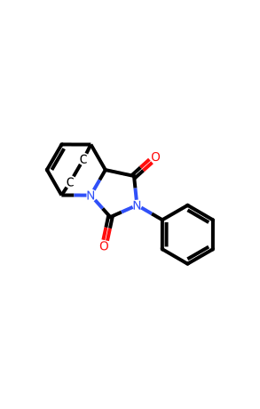 O=C1C2C3C=CC(CC3)N2C(=O)N1c1ccccc1